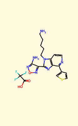 NCCCCCn1c(-c2nonc2N)nc2c(-c3ccsc3)nccc21.O=C(O)C(F)(F)F